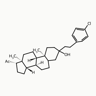 CC(=O)[C@H]1CC[C@H]2[C@@H]3CCC4CC(O)(CCc5ccc(Cl)cc5)CC[C@]4(C)[C@H]3CC[C@]12C